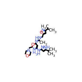 C=C(/N=C(\C=C(/N)Nc1cc(C(C)C)[nH]n1)OCCN1CCOCC1)NCc1cc(C(C)C)no1